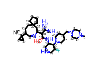 CN1CCN(CC2CCN(C3C(F)CNCC3NC(O)C(C(N)N)C3CC4(CCCC4)CCC(C4(C#N)CC4)/C=N\3)CC2)CC1